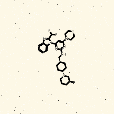 FC1CCCN([C@H]2CC[C@H](CNc3nc(N4CCOCC4)cc(-n4c(C(F)F)nc5ccccc54)n3)CC2)C1